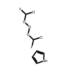 FC(Cl)OOOC(F)Cl.c1cc[nH]c1